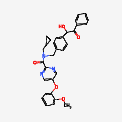 COc1ccccc1Oc1cnc(C(=O)N(Cc2ccc(C(O)C(=O)c3ccccc3)cc2)CC2CC2)nc1